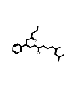 CCCC(=O)CC(CCC(O)CCCC(C)CC(C)C)c1ccccc1